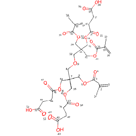 C=C(C)C(=O)OCC(COCC(COC(=O)CCC(=O)O)(COC(=O)C(=C)C)COC(=O)C(=C)C)(COC(=O)CCC(=O)O)COC(=O)CCC(=O)O